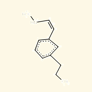 CCCc1cccc(/C=C\NC)c1